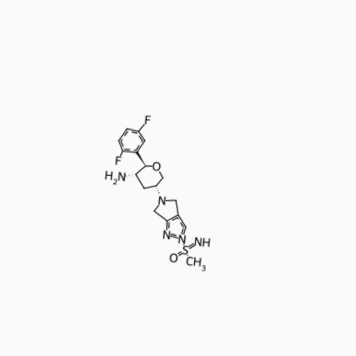 CS(=N)(=O)n1cc2c(n1)CN([C@H]1CO[C@H](c3cc(F)ccc3F)[C@@H](N)C1)C2